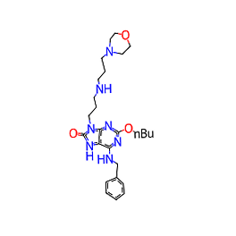 CCCCOc1nc(NCc2ccccc2)c2[nH]c(=O)n(CCCNCCCN3CCOCC3)c2n1